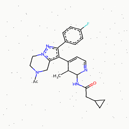 CC(=O)N1CCn2nc(-c3ccc(F)cc3)c(C3=CC=NC(NC(=O)CC4CC4)C3C)c2C1